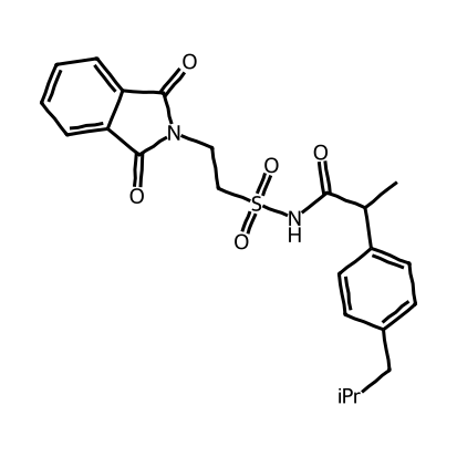 CC(C)Cc1ccc(C(C)C(=O)NS(=O)(=O)CCN2C(=O)c3ccccc3C2=O)cc1